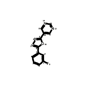 Fc1cccc(-c2nnc(-c3cncnc3)o2)c1